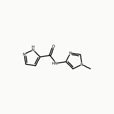 Cn1cnc(NC(=O)c2ccn[nH]2)c1